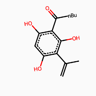 C=C(C)c1c(O)cc(O)c(C(=O)CCCC)c1O